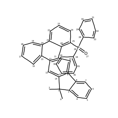 CC1(C)c2ccccc2-c2cc3c(cc21)c1ccccc1c1cccc(P(=O)(c2ccccc2)c2ccccc2)c13